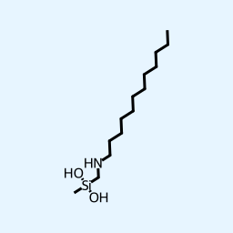 CCCCCCCCCCCCNC[Si](C)(O)O